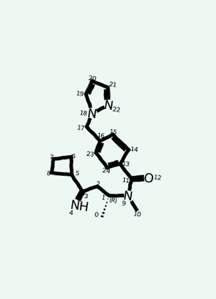 C[C@H](CC(=N)C1CCC1)N(C)C(=O)c1ccc(Cn2cccn2)cc1